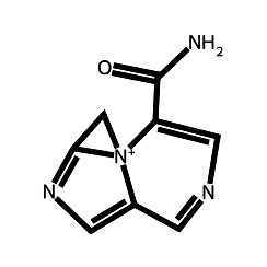 NC(=O)C1=CN=CC2=CN=C3C[N+]213